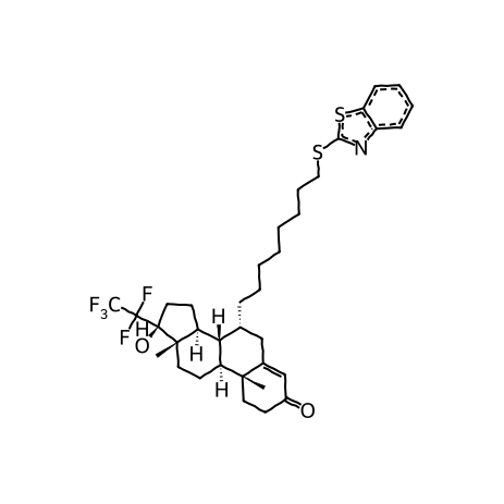 C[C@]12CCC(=O)C=C1C[C@@H](CCCCCCCCSc1nc3ccccc3s1)[C@@H]1[C@@H]2CC[C@@]2(C)[C@H]1CC[C@@]2(O)C(F)(F)C(F)(F)F